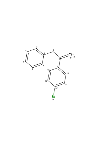 C=C(Cc1ccccc1)c1ccc(Br)cc1